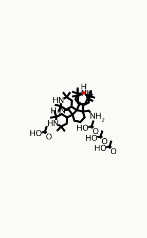 CC(=O)O.CC(=O)O.CC(=O)O.CC(=O)O.CC1(C)CC(C2(CN)CCCC(CN)(C3CC(C)(C)NC(C)(C)C3)C2(C2CC(C)(C)NC(C)(C)C2)C2CC(C)(C)NC(C)(C)C2)CC(C)(C)N1